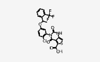 CC(Oc1ccc(Cl)c(-n2c(=O)[nH]c3csc(C(=O)O)c3c2=O)c1)c1ccccc1C(F)(F)F